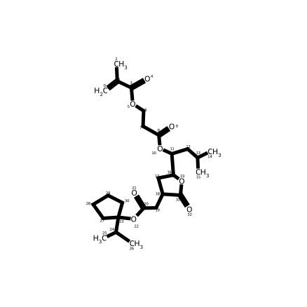 C=C(C)C(=O)OCCC(=O)OC(CC(C)C)C1CC(CC(=O)OC2(C(C)C)CCCC2)C(=O)O1